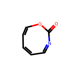 O=C1\N=C/C=C\C=C/O1